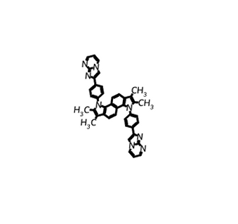 Cc1c(C)n(-c2ccc(-c3cn4cccnc4n3)cc2)c2c1ccc1c2ccc2c(C)c(C)n(-c3ccc(-c4cn5cccnc5n4)cc3)c21